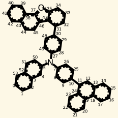 c1ccc2cc(N(c3ccc(-c4cc5ccccc5c5ccccc45)cc3)c3ccc(-c4cccc5oc6c7ccccc7ccc6c45)cc3)ccc2c1